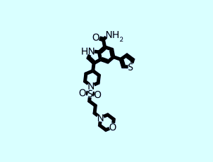 NC(=O)c1cc(-c2ccsc2)cc2c(C3CCN(S(=O)(=O)CCCN4CCOCC4)CC3)c[nH]c12